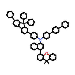 CC1(C)c2ccccc2Oc2c(-c3ccc(N(c4ccc(-c5ccc(-c6ccccc6)cc5)cc4)c4ccc(-c5ccc6c(c5)C(c5ccccc5)(c5ccccc5)c5cc(-c7ccccc7)ccc5-6)cc4)c4ccccc34)cccc21